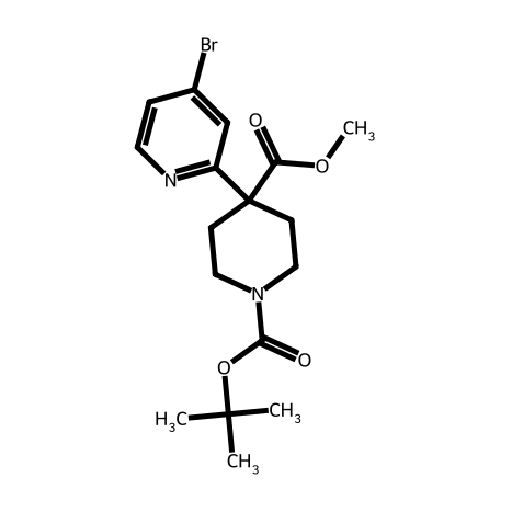 COC(=O)C1(c2cc(Br)ccn2)CCN(C(=O)OC(C)(C)C)CC1